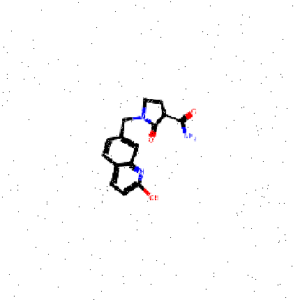 NC(=O)[C@@H]1CCN(Cc2ccc3ccc(O)nc3c2)C1=O